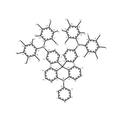 Cc1c(C)c(C)c(N(c2ccc(C3(c4ccc(N(c5c(C)c(C)c(C)c(C)c5C)c5c(C)c(C)c(C)c(C)c5C)cc4)c4ccccc4N(c4ccccc4)c4ccccc43)cc2)c2c(C)c(C)c(C)c(C)c2C)c(C)c1C